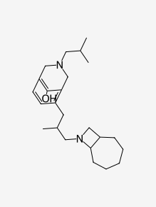 CC(C)CN1Cc2ccc(CC(C)CN3CC4CCCCCC43)c(c2O)C1